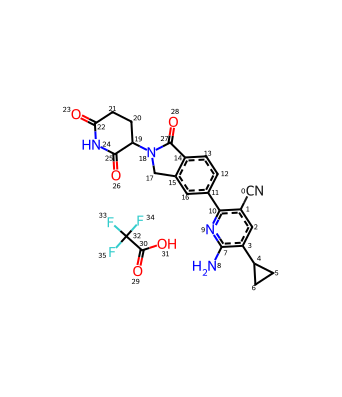 N#Cc1cc(C2CC2)c(N)nc1-c1ccc2c(c1)CN(C1CCC(=O)NC1=O)C2=O.O=C(O)C(F)(F)F